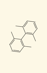 Cc1c[c]cc(C)c1-c1c(C)c[c]cc1C